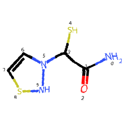 NC(=O)C(S)N1C=CSN1